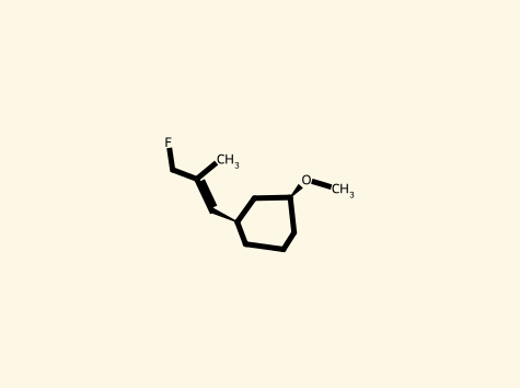 CO[C@H]1CCC[C@@H](/C=C(\C)CF)C1